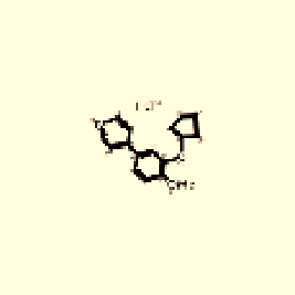 COc1ccc(-c2ccncc2)cc1OC1CCCC1.Cl